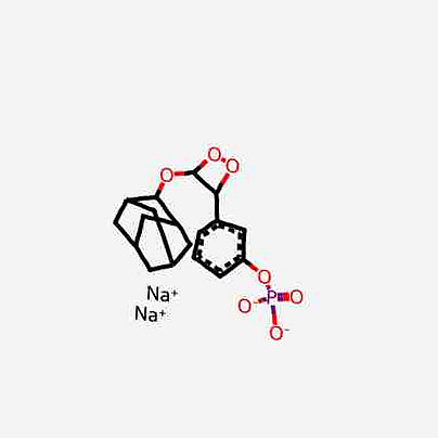 O=P([O-])([O-])Oc1cccc(C2OOC2OC2C3CC4CC(C3)CC2C4)c1.[Na+].[Na+]